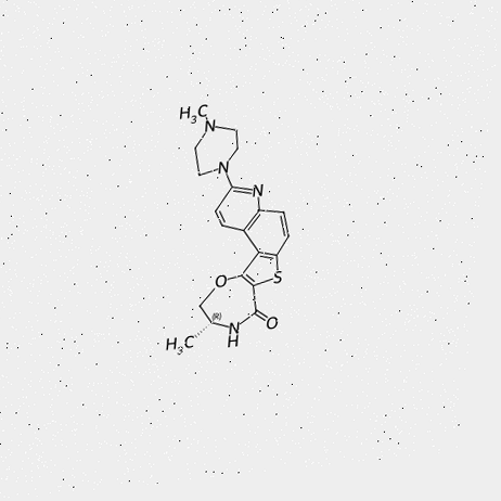 C[C@@H]1COc2c(sc3ccc4nc(N5CCN(C)CC5)ccc4c23)C(=O)N1